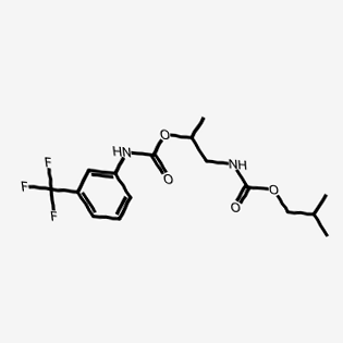 CC(C)COC(=O)NCC(C)OC(=O)Nc1cccc(C(F)(F)F)c1